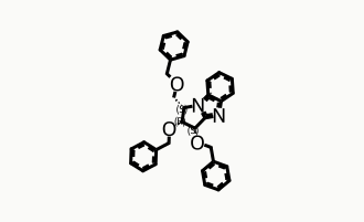 c1ccc(COC[C@H]2[C@@H](OCc3ccccc3)[C@@H](OCc3ccccc3)c3nc4ccccc4n32)cc1